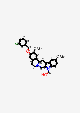 COc1ccc2c(c1)c1c(n2CO)CN2CCc3cc(OCc4cccc(F)c4)c(OC)cc3C2C1